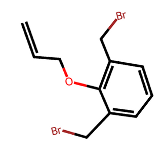 C=CCOc1c(CBr)cccc1CBr